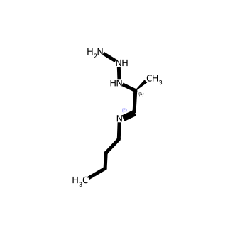 CCCC/N=C/[C@H](C)NNN